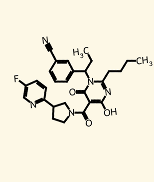 CCCCc1nc(O)c(C(=O)N2CCC(c3ccc(F)cn3)C2)c(=O)n1C(CC)c1cccc(C#N)c1